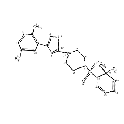 Cc1ccc(C)c(-c2csc(N3CCC(S(=O)(=O)C4C=CC=CC4(C)Cl)CC3)n2)c1